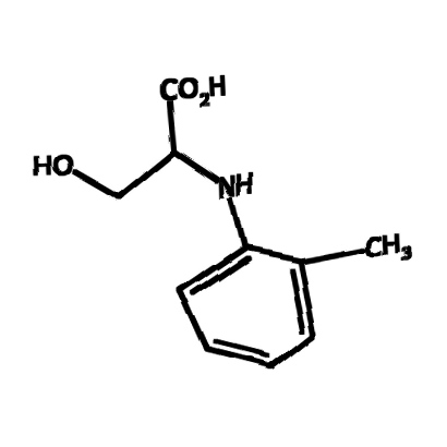 Cc1ccccc1NC(CO)C(=O)O